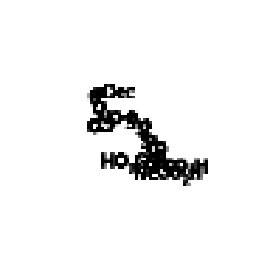 CCCCCCCCCCOc1ccc(N2c3ccccc3CCc3cc(-c4ccc(-c5ccc(-c6ccc(/C=c7\c(=O)n(CC(=O)O)/c(=C(/C#N)C(=O)O)n7CC(=O)O)s6)s5)s4)ccc32)cc1